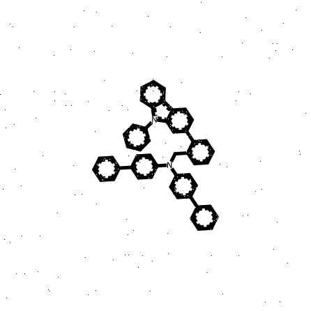 c1ccc(-c2ccc(N(Cc3ccccc3-c3ccc4c5ccccc5n(-c5ccccc5)c4c3)c3ccc(-c4ccccc4)cc3)cc2)cc1